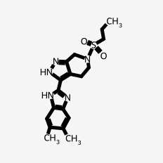 CCCS(=O)(=O)N1CCc2c(n[nH]c2-c2nc3cc(C)c(C)cc3[nH]2)C1